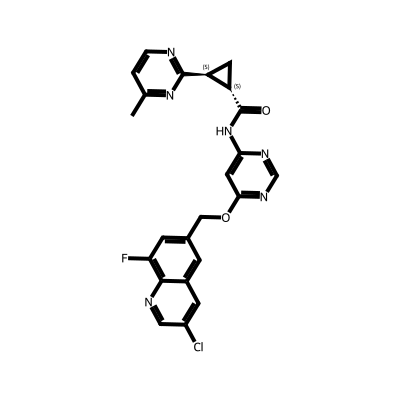 Cc1ccnc([C@H]2C[C@@H]2C(=O)Nc2cc(OCc3cc(F)c4ncc(Cl)cc4c3)ncn2)n1